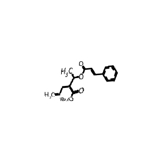 C=CCC(C(=O)OCC(C)C)C(C)OC(=O)C=Cc1ccccc1